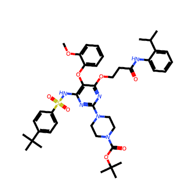 COc1ccccc1Oc1c(NS(=O)(=O)c2ccc(C(C)(C)C)cc2)nc(N2CCN(C(=O)OC(C)(C)C)CC2)nc1OCCC(=O)Nc1ccccc1C(C)C